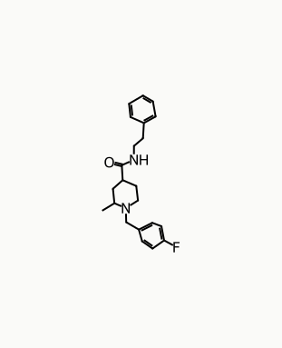 CC1CC(C(=O)NCCc2ccccc2)CCN1Cc1ccc(F)cc1